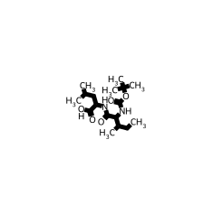 CCC(C)C(NC(=O)OC(C)(C)C)C(=O)NC(CC(C)C)C(=O)O